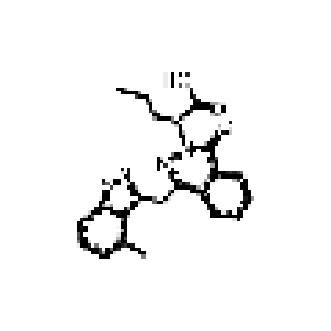 CCCC(C(=O)O)n1nc(Cc2nsc3cccc(C)c23)c2ccccc2c1=O